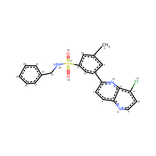 Cc1cc(-c2ccc3nccc(Cl)c3n2)cc(S(=O)(=O)NCc2ccccc2)c1